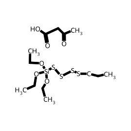 CC(=O)CC(=O)O.CCCSSSS[Si](OCC)(OCC)OCC